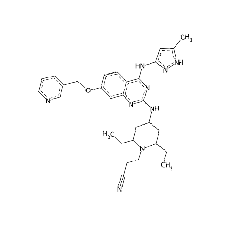 CCC1CC(Nc2nc(Nc3cc(C)[nH]n3)c3ccc(OCc4cccnc4)cc3n2)CC(CC)N1CCC#N